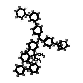 CC1(C)c2cc(N(c3ccc(-c4cccc(C5CCCCC5)c4)cc3)c3ccc(C4CC5CCC4C5)cc3)ccc2-c2cccc(-c3ccccc3-c3ccccc3)c21